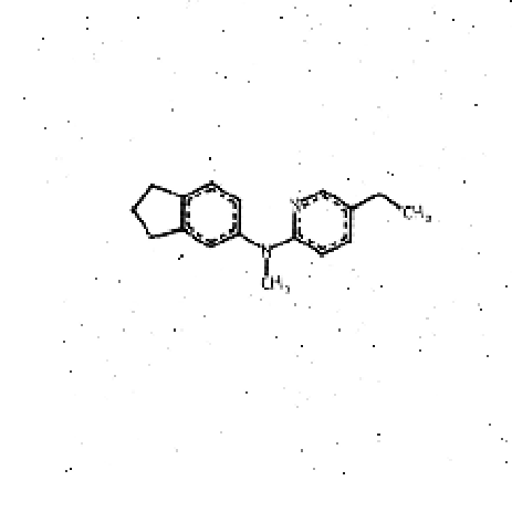 CCc1ccc(N(C)c2ccc3c(c2)CCC3)nc1